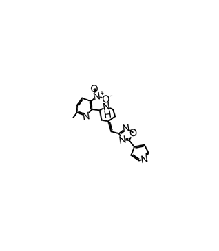 Cc1ccc([N+](=O)[O-])c(C2C/C(=C/c3noc(-c4ccncc4)n3)CCN2)n1